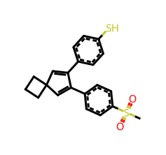 CS(=O)(=O)c1ccc(C2=CC3(C=C2c2ccc(S)cc2)CCC3)cc1